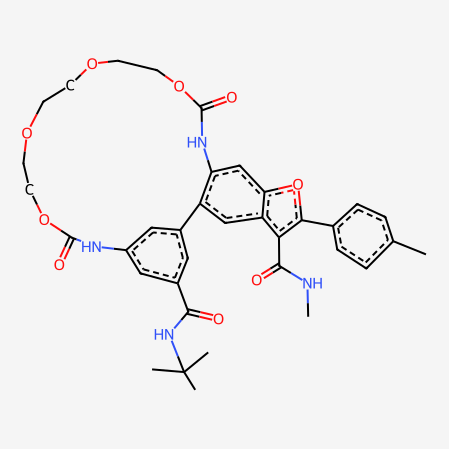 CNC(=O)c1c(-c2ccc(C)cc2)oc2cc3c(cc12)-c1cc(cc(C(=O)NC(C)(C)C)c1)NC(=O)OCCOCCOCCOC(=O)N3